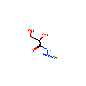 CC(C)NNC(=O)[C@H](O)CO